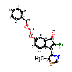 Cc1scnc1C1=C(Br)C(=O)c2cc(OCOCc3ccccc3)ccc21